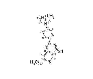 CCN(CC)c1ccc(-c2cc3cc(OC)ccc3c(Cl)n2)cc1